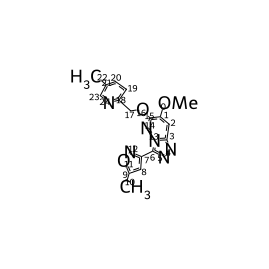 COc1cc2nnc(-c3cc(C)on3)n2nc1OCc1ccc(C)cn1